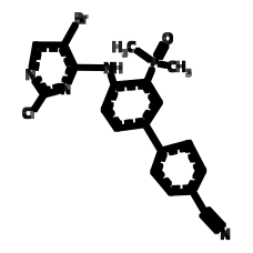 CP(C)(=O)c1cc(-c2ccc(C#N)cc2)ccc1Nc1nc(Cl)ncc1Br